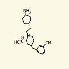 Cl.Cl.N#Cc1cccc(CC2CCN(CC[C@H]3CC[C@H](N)CC3)CC2)c1